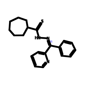 S=C(N/N=C(/c1ccccc1)c1ccccn1)C1CCCCCC1